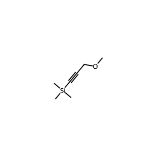 COCC#C[Si](C)(C)C